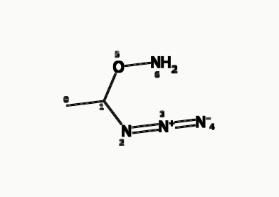 CC(N=[N+]=[N-])ON